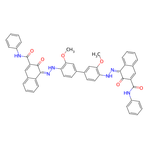 COc1cc(-c2ccc(NN=C3C(=O)C(C(=O)Nc4ccccc4)=Cc4ccccc43)c(OC)c2)ccc1NN=C1C(=O)C(C(=O)Nc2ccccc2)=Cc2ccccc21